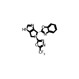 FC(F)(F)c1nnc(N2Cc3[nH]cnc3[C@@H]2c2nc3ccccc3o2)o1